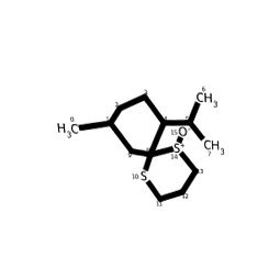 CC1CCC(C(C)C)C2(C1)SCCC[S+]2[O-]